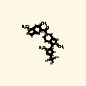 Cc1cc2c(cnn2C)nc1C(=O)N1CCc2c(nn(C)c2-c2cc(C(F)(F)F)nn2C)C1